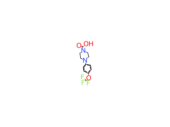 O=C(O)N1CCN(c2ccc(OC(F)(F)F)cc2)CC1